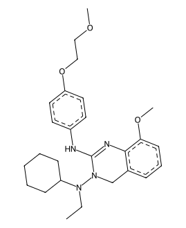 CCN(C1CCCCC1)N1Cc2cccc(OC)c2N=C1Nc1ccc(OCCOC)cc1